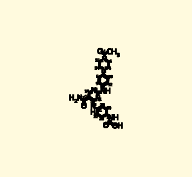 CC(=O)N1CCN(c2ccc(Nc3ncc(C(N)=O)c(N[C@H]4CC[C@@H](NC(=O)O)CC4)n3)cc2)CC1